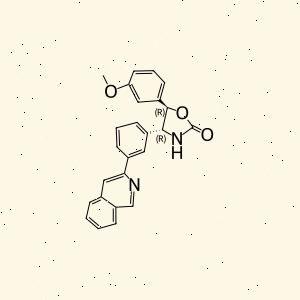 COc1cccc([C@H]2OC(=O)N[C@@H]2c2cccc(-c3cc4ccccc4cn3)c2)c1